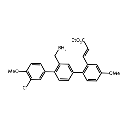 BCc1cc(-c2ccc(OC)cc2/C=C/C(=O)OCC)ccc1-c1ccc(OC)c(Cl)c1